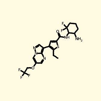 CCc1sc(C(=O)NC2C(N)CCCC2(F)F)cc1-c1cnn2cc(OCC(F)(F)F)cnc12